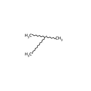 CCCCCC[CH]C(CCCCCCCC)CCCCCCCCCCCC